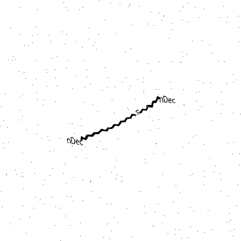 CCCCCCCCCCCCCCCCCCCCCCCCCCC[CH]SCCCCCCCCCCCCCCCCCC